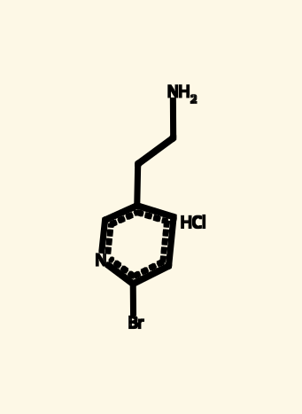 Cl.NCCc1ccc(Br)nc1